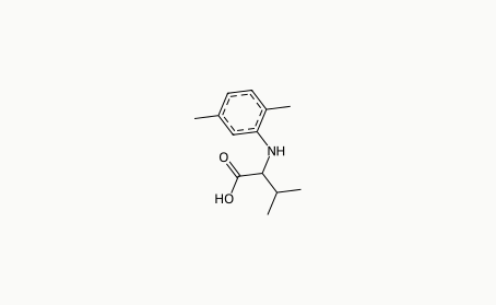 Cc1ccc(C)c(NC(C(=O)O)C(C)C)c1